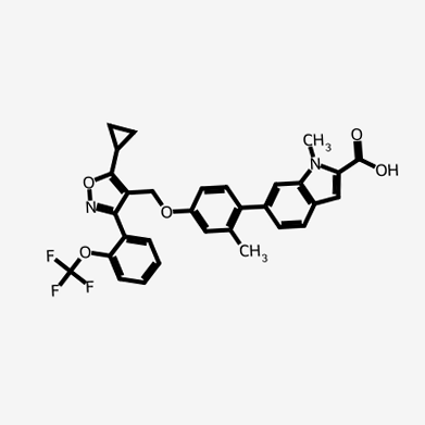 Cc1cc(OCc2c(-c3ccccc3OC(F)(F)F)noc2C2CC2)ccc1-c1ccc2cc(C(=O)O)n(C)c2c1